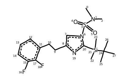 CN(C)S(=O)(=O)n1cc(CCc2cccc(F)c2F)nc1[Si](C)(C)C(C)(C)C